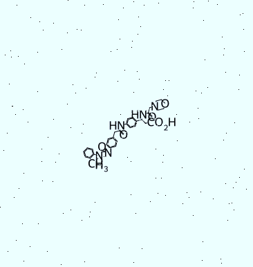 Cc1ccccc1Nc1nc2ccc(CC(=O)Nc3ccc([C@H](CC(=O)O)NC(=O)CN4CCOCC4)cc3)cc2o1